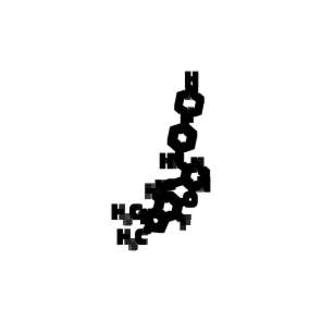 Cc1cc2c(F)c(Oc3ncnc(Nc4ccc(N5CCNCC5)cc4)c3C#N)cc(F)c2n1C